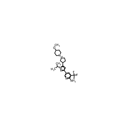 COC1CCN([C@@H]2CCC(c3cc(-c4cnc(N)c(C(F)(F)F)c4)nn3C(C)C)C2)CC1